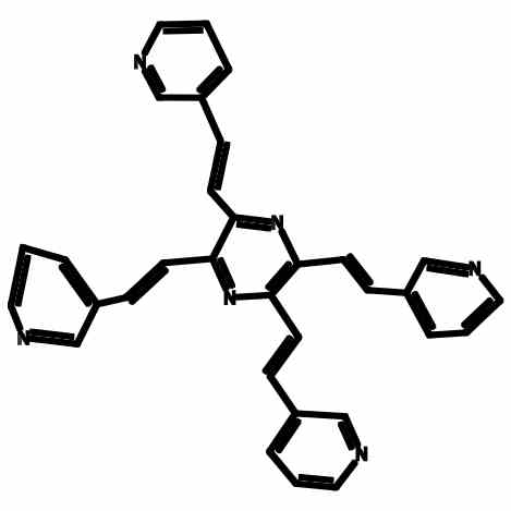 C(=Cc1nc(C=Cc2cccnc2)c(C=Cc2cccnc2)nc1C=Cc1cccnc1)c1cccnc1